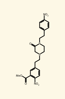 COC(=O)c1cc(CCN2CCN(CCc3ccc([N+](=O)[O-])cc3)C(=O)C2)ccc1[N+](=O)[O-]